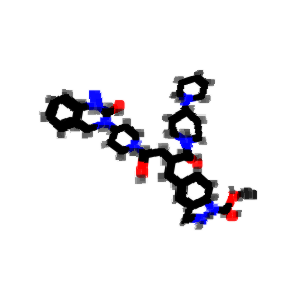 CC(C)(C)OC(=O)n1ncc2cc(CC(CC(=O)N3CCC(N4Cc5ccccc5NC4=O)CC3)C(=O)N3CCC(N4CCCCC4)CC3)ccc21